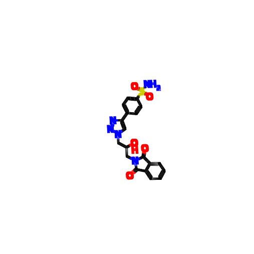 NS(=O)(=O)c1ccc(-c2cn(CC(O)CN3C(=O)c4ccccc4C3=O)nn2)cc1